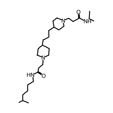 CC(C)CCCCNC(=O)CCN1CCC(CCCC2CCN(CCC(=O)NC(C)C)CC2)CC1